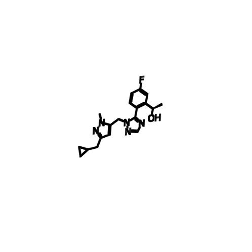 C[C@@H](O)c1cc(F)ccc1-c1ncnn1Cc1cc(CC2CC2)nn1C